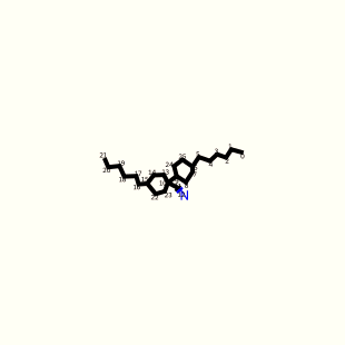 CCCCCCC1CCC(C2(C#N)CCC(CCCCCC)CC2)CC1